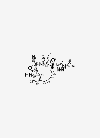 CC(C)C[C@H]1C(=O)N2C[C@]3(C[C@H]2C#N)C(=O)Nc2ccc(cc23)CCCCCN1C(=O)c1cn(C2CC2)nn1